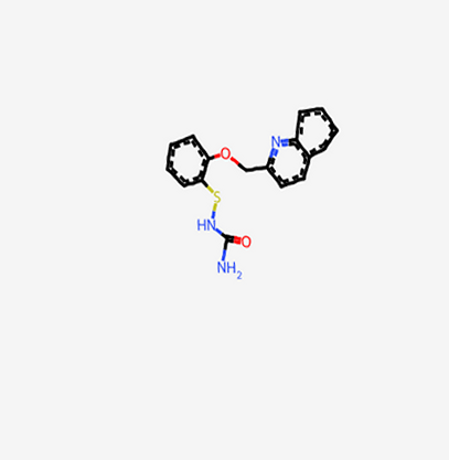 NC(=O)NSc1ccccc1OCc1ccc2ccccc2n1